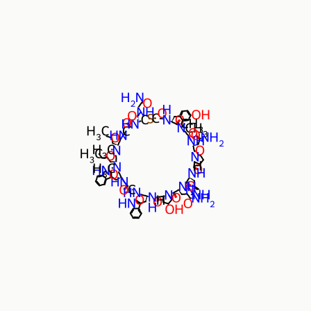 CCCC[C@H]1C(=O)N(C)[C@@H](CCCC)C(=O)NCC(=O)N[C@H](C(=O)NCC(N)=O)CSCC(=O)N[C@@H](Cc2ccc(O)cc2)C(=O)N(C)[C@@H](C)C(=O)N[C@@H](CC(N)=O)C(=O)N2CCC[C@H]2C(=O)N[C@@H](Cc2c[nH]cn2)C(=O)N[C@@H](CCC(N)=O)C(=O)N2C[C@H](O)C[C@H]2C(=O)N[C@@H](Cc2c[nH]c3ccccc23)C(=O)NCC(=O)N[C@@H](Cc2c[nH]c3ccccc23)C(=O)N1C